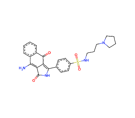 NC1=C2C(=O)NC(c3ccc(S(=O)(=O)NCCCN4CCCC4)cc3)=C2C(=O)c2ccccc21